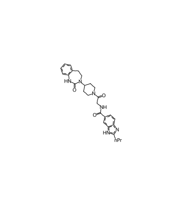 CCCc1nc2ccc(C(=O)NCC(=O)N3CCC(N4CCc5ccccc5NC4=O)CC3)cc2[nH]1